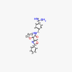 CCO[C@@](OC(C)=O)(C(=O)NCc1ccc(C(=N)N)cc1)c1coc(-c2ccccc2)n1